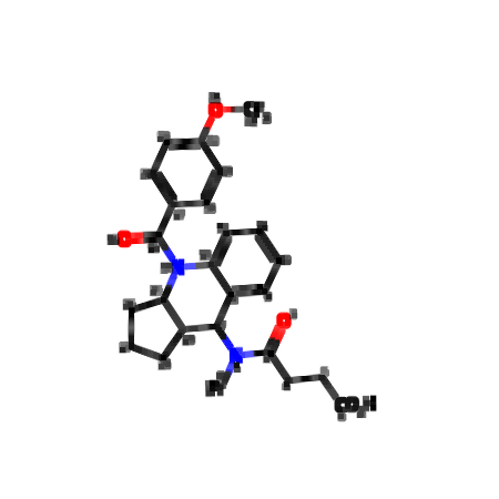 CC(C)N(C(=O)CCC(=O)O)C1c2ccccc2N(C(=O)c2ccc(OC(F)(F)F)cc2)C2CCCC21